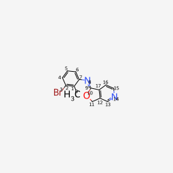 Cc1c(Br)cccc1N=C1OCc2cnccc21